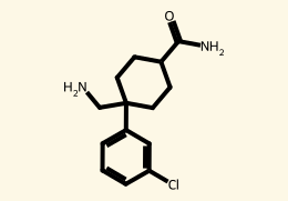 NCC1(c2cccc(Cl)c2)CCC(C(N)=O)CC1